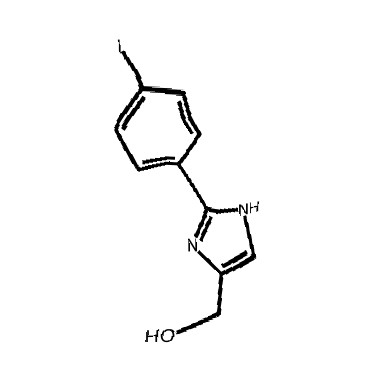 OCc1c[nH]c(-c2ccc(I)cc2)n1